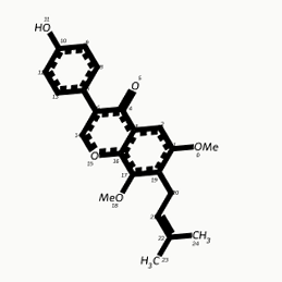 COc1cc2c(=O)c(-c3ccc(O)cc3)coc2c(OC)c1CC=C(C)C